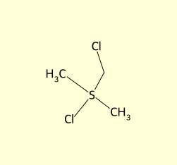 CS(C)(Cl)CCl